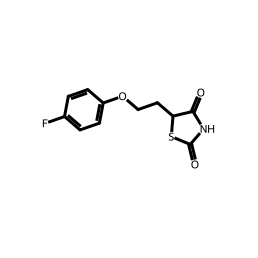 O=C1NC(=O)C(CCOc2ccc(F)cc2)S1